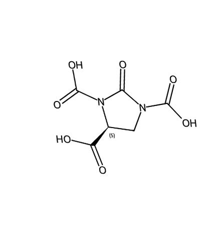 O=C(O)[C@@H]1CN(C(=O)O)C(=O)N1C(=O)O